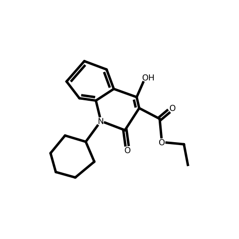 CCOC(=O)c1c(O)c2ccccc2n(C2CCCCC2)c1=O